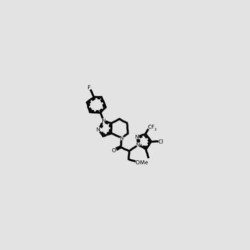 COCC(C(=O)N1CCCc2c1cnn2-c1ccc(F)cc1)n1nc(C(F)(F)F)c(Cl)c1C